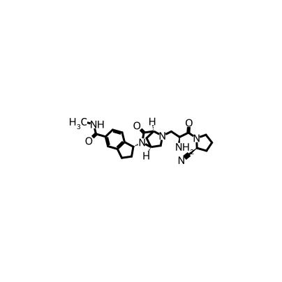 CNC(=O)c1ccc2c(c1)CC[C@H]2N1C(=O)[C@@H]2C[C@H]1CN2C[C@H](N)C(=O)N1CCC[C@H]1C#N